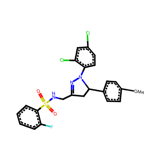 COc1ccc(C2CC(CNS(=O)(=O)c3ccccc3F)=NN2c2ccc(Cl)cc2Cl)cc1